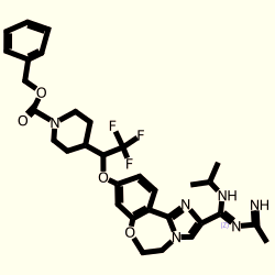 CC(=N)/N=C(\NC(C)C)c1cn2c(n1)-c1ccc(OC(C3CCN(C(=O)OCc4ccccc4)CC3)C(F)(F)F)cc1OCC2